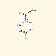 COC(=O)N1C=CC(Cl)=CN1